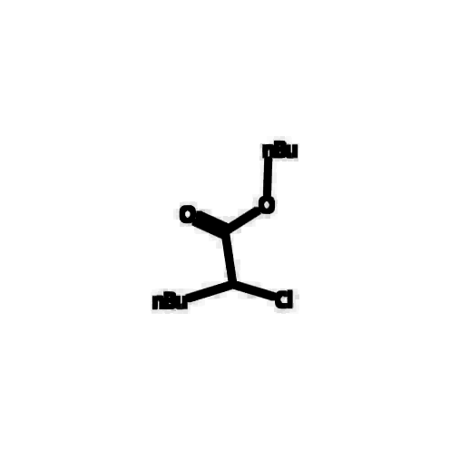 CCCCOC(=O)C(Cl)CCCC